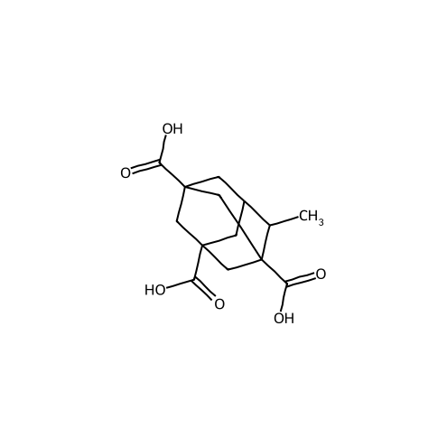 CC1C2CC3(C(=O)O)CC(C(=O)O)(C2)CC1(C(=O)O)C3